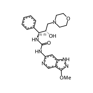 COc1n[nH]c2cc(NC(=O)N[C@@H](c3ccccc3)[C@@H](O)CN3CCOCC3)ncc12